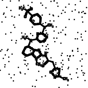 Cc1cc(CC(=O)Nc2nc3c(N(C)c4ccnc(N(C)c5ccc(S(C)(=O)=O)cc5)n4)cccc3n2C)on1